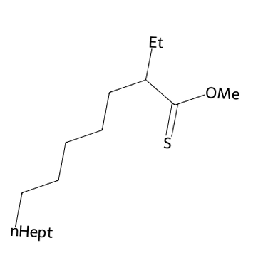 CCCCCCCCCCCCC(CC)C(=S)OC